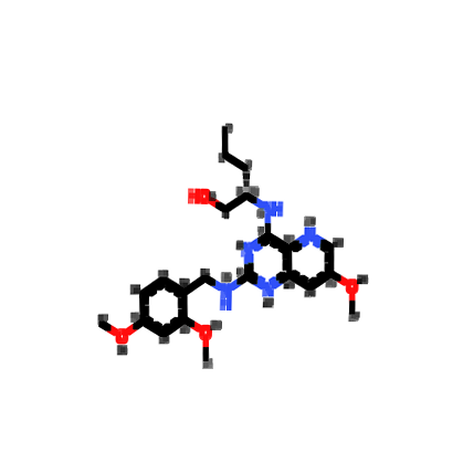 CCC[C@@H](CO)Nc1nc(NCc2ccc(OC)cc2OC)nc2cc(OC)cnc12